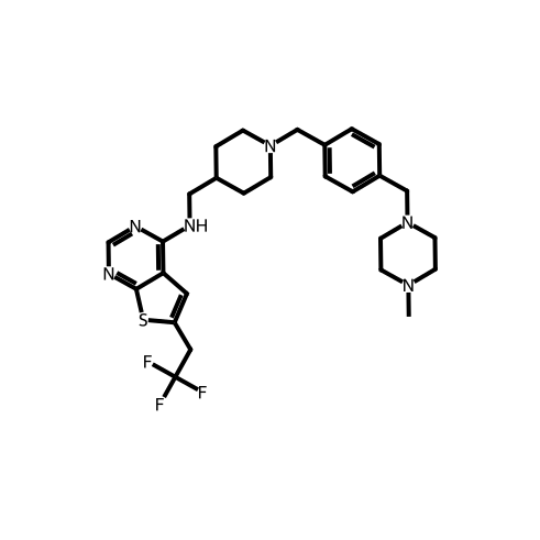 CN1CCN(Cc2ccc(CN3CCC(CNc4ncnc5sc(CC(F)(F)F)cc45)CC3)cc2)CC1